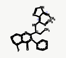 C=N/C(N[C@@H](CC)c1nc2cccc(F)c2c(=O)n1-c1ccccc1)=C1/N=CN/C1=N/C